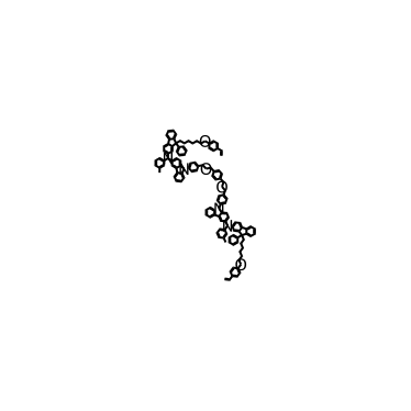 C=Cc1ccc(OCCCCCCC2(c3ccccc3)c3ccccc3-c3ccc(N(c4cccc(C)c4)c4ccc5c(c4)c4ccccc4n5-c4ccc(COCc5ccc(COCc6ccc(-n7c8ccccc8c8cc(N(c9cccc(C)c9)c9ccc%10c(c9)C(CCCCCCOc9ccc(C=C)cc9)(c9ccccc9)c9ccccc9-%10)ccc87)cc6)cc5)cc4)cc32)cc1